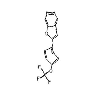 FC(F)(F)Oc1ccc(-c2cc3ccccc3o2)cc1